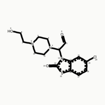 O=CC(N1CCN(CCO)CC1)n1c(=O)sc2ccc(Cl)cc21